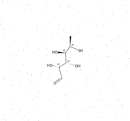 C[C@@H](S)[C@H](O)[C@H](O)[C@@H](O)C=O